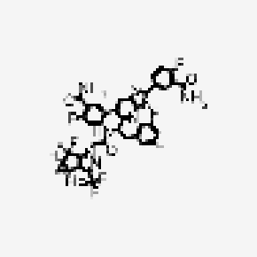 NC(=O)c1cc(-c2nc3nc(C(Cc4cc(F)cc(F)c4)NC(=O)Cn4nc(C(F)(F)F)c5c4C(F)(F)[C@@H]4C[C@H]54)c(-c4ccc(F)c(C(N)=O)c4)cc3s2)ccc1F